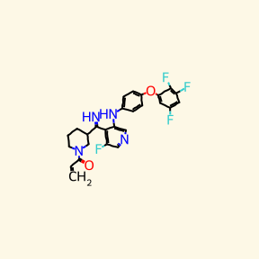 C=CC(=O)N1CCCC(C(=N)c2c(F)cncc2Nc2ccc(Oc3cc(F)cc(F)c3F)cc2)C1